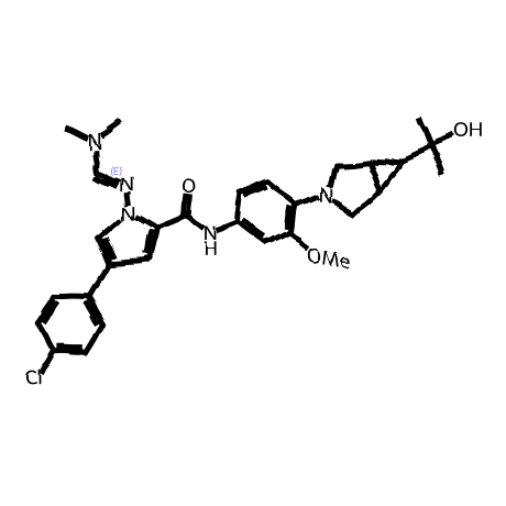 COc1cc(NC(=O)c2cc(-c3ccc(Cl)cc3)cn2/N=C/N(C)C)ccc1N1CC2C(C1)C2C(C)(C)O